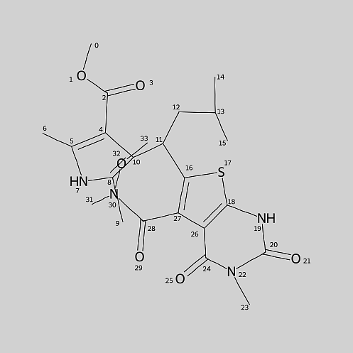 COC(=O)c1c(C)[nH]c(C)c1C(CC(C)C)c1sc2[nH]c(=O)n(C)c(=O)c2c1C(=O)N(C)OC